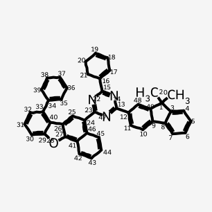 CC1(C)c2ccccc2-c2ccc(-c3nc(C4=CC=CCC4)nc(-c4cc5c(oc6cccc(-c7ccccc7)c65)c5ccccc45)n3)cc21